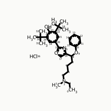 CCN(C)CCCCC(Oc1ccccc1)c1coc(-c2cc(C(C)(C)C)c(O)c(C(C)(C)C)c2)n1.Cl